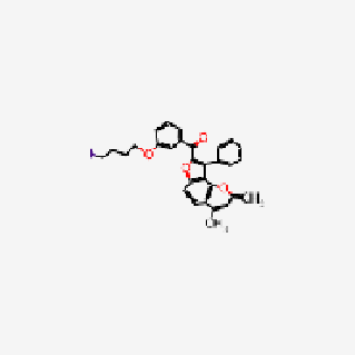 C=C1C=C(C)c2ccc3oc(C(=O)c4cccc(OCCCCI)c4)c(-c4ccccc4)c3c2O1